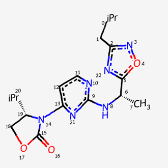 CC(C)Cc1noc([C@H](C)Nc2nccc(N3C(=O)OC[C@@H]3C(C)C)n2)n1